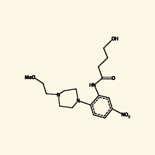 COCCN1CCN(c2ccc([N+](=O)[O-])cc2NC(=O)CCCO)CC1